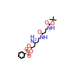 CC(C)(C)OC(=O)NCCC(=O)NCCC(N)CC(=O)OS(=O)(=O)c1ccccc1